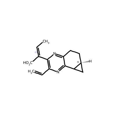 C=Cc1nc2c(nc1/C(=C\C)C(=O)O)CC[C@H]1CC21